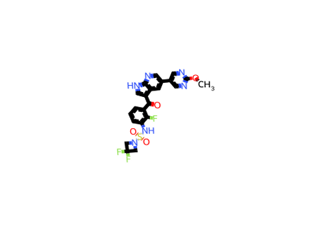 COc1ncc(-c2cnc3[nH]cc(C(=O)c4cccc(NS(=O)(=O)N5CC(F)(F)C5)c4F)c3c2)cn1